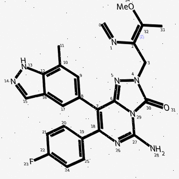 C=N/C(Cn1nc2c(-c3cc(C)c4[nH]ncc4c3)c(-c3ccc(F)cc3)nc(N)n2c1=O)=C(/C)OC